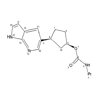 CC(C)NC(=O)O[C@@H]1CC[C@H](c2cnc3[nH]ccc3c2)C1